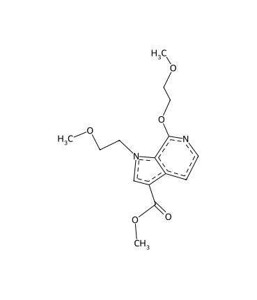 COCCOc1nccc2c(C(=O)OC)cn(CCOC)c12